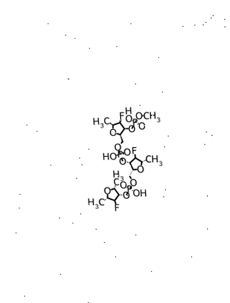 COP(=O)(O)O[C@@H]1C(F)[C@H](C)O[C@@H]1COP(=O)(O)O[C@@H]1C(F)[C@H](C)O[C@@H]1COP(=O)(O)O[C@@H]1C(F)[C@H](C)O[C@@H]1C